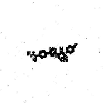 O=C(N[C@@H](CO)c1nc(-c2ccc(C(=O)C(F)(F)F)cc2)no1)c1ccc(F)cc1